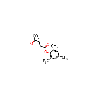 Cc1cc(C(F)(F)F)cc(C(F)(F)F)c1OC(=O)CCC(=O)C(=O)O